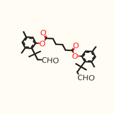 Cc1cc(C)c(C(C)(C)CC=O)c(OC(=O)CCCCC(=O)Oc2cc(C)cc(C)c2C(C)(C)CC=O)c1